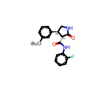 CC(C)COc1cccc([C@H]2CNC(=O)[C@@H]2C(=O)Nc2ccccc2F)c1